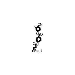 CCCCCC=CC(=O)Oc1ccc(C(=O)Oc2ccc(C#N)c(F)c2)cc1